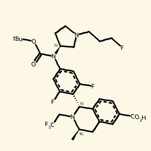 C[C@@H]1Cc2cc(C(=O)O)ccc2[C@@H](c2c(F)cc(N(C(=O)OC(C)(C)C)[C@H]3CCN(CCCF)C3)cc2F)N1CC(F)(F)F